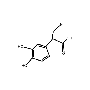 [N]OC(C(=O)O)c1ccc(O)c(O)c1